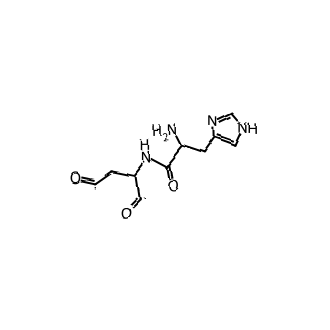 NC(Cc1c[nH]cn1)C(=O)NC([C]=O)C[C]=O